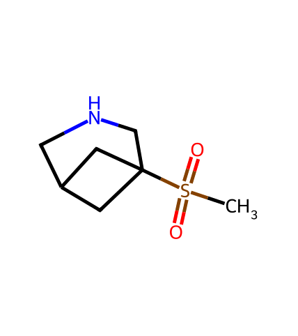 CS(=O)(=O)C12CNCC(C1)C2